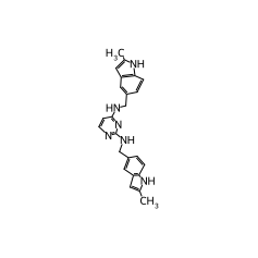 Cc1cc2cc(CNc3ccnc(NCc4ccc5[nH]c(C)cc5c4)n3)ccc2[nH]1